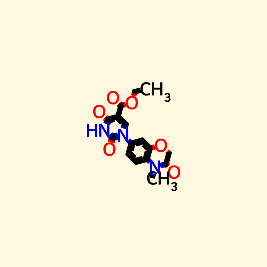 CCOC(=O)c1cn(-c2ccc3c(c2)OCC(=O)N3C)c(=O)[nH]c1=O